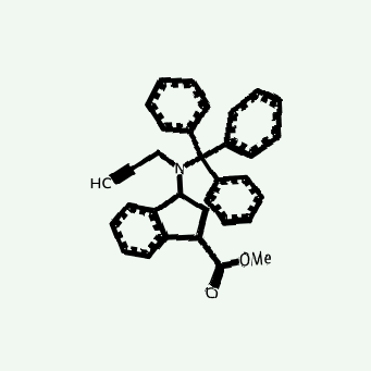 C#CCN(C1CC(C(=O)OC)c2ccccc21)C(c1ccccc1)(c1ccccc1)c1ccccc1